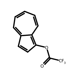 O=C(Oc1ccc2cccccc1-2)C(F)(F)F